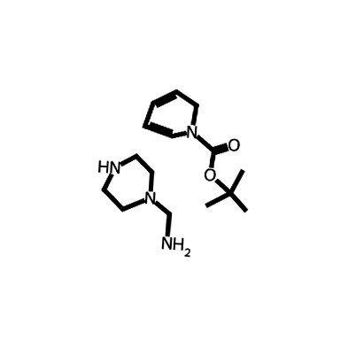 CC(C)(C)OC(=O)N1C=CC=CC1.NCN1CCNCC1